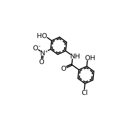 O=C(Nc1ccc(O)c([N+](=O)[O-])c1)c1cc(Cl)ccc1O